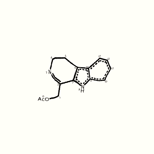 CC(=O)OCC1=NCCc2c1[nH]c1ccccc21